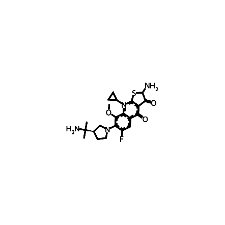 COc1c(N2CC[C@@H](C(C)(C)N)C2)c(F)cc2c(=O)c3c(n(C4CC4)c12)SC(N)C3=O